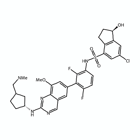 CNCC1CC[C@@H](Nc2ncc3cc(-c4c(F)ccc(NS(=O)(=O)c5cc(Cl)cc6c5CC[C@H]6O)c4F)cc(OC)c3n2)C1